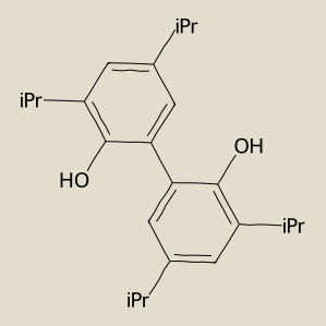 CC(C)c1cc(-c2cc(C(C)C)cc(C(C)C)c2O)c(O)c(C(C)C)c1